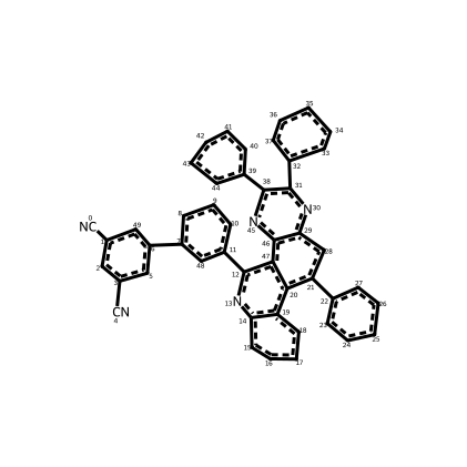 N#Cc1cc(C#N)cc(-c2cccc(-c3nc4ccccc4c4c(-c5ccccc5)cc5nc(-c6ccccc6)c(-c6ccccc6)nc5c34)c2)c1